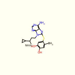 Bc1cc(O)c(O)cc1Sc1nc2c(N)ncnc2n1CCC(NC(C)=O)C1CC1